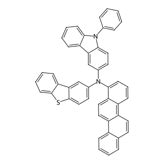 c1ccc(-n2c3ccccc3c3cc(N(c4ccc5sc6ccccc6c5c4)c4cccc5c4ccc4c6ccccc6ccc54)ccc32)cc1